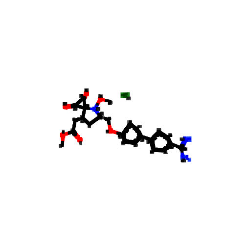 COC(=O)C[C@@H]1C[C@@H](COc2ccc(-c3ccc(C(=N)N)cc3)cc2)N(OC)C12C(=O)C2=O.Cl